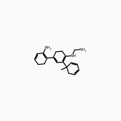 CC1(C2=C(NCN)CCC(C3=C(N)C=CCC3)=C2)C=CC=CC1